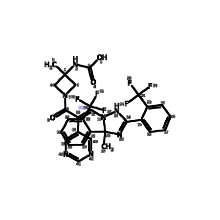 CC1(NC(=O)O)CN(C(=O)/C(=C/N2NC(c3ccccc3C(F)(F)F)=NC2(C)c2ccccc2C(F)(F)F)c2cncnc2)C1